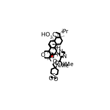 CNC(=O)c1ncnn1[C@@H]1C[C@@]23COC[C@](C)([C@@H]2CC[C@H]2C3=CC[C@@]3(C)[C@H](C(=O)O)[C@@](C)([C@H](C)C(C)C)CC[C@]23C)[C@H]1OCC1(NC)CCS(=O)(=O)CC1